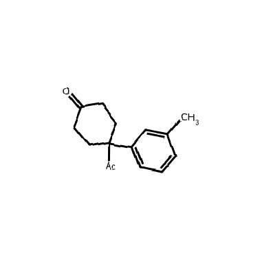 CC(=O)C1(c2cccc(C)c2)CCC(=O)CC1